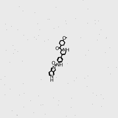 COC1CCC(C(=O)C2CC(c3ccc(NC(=O)N4C=C5C=CNC=C5C4)cc3)=CCN2)CC1